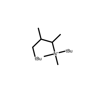 CC(CC(C)(C)C)C(C)[N+](C)(C)C(C)(C)C